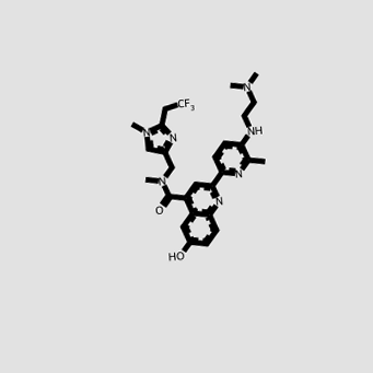 Cc1nc(-c2cc(C(=O)N(C)Cc3cn(C)c(CC(F)(F)F)n3)c3cc(O)ccc3n2)ccc1NCCN(C)C